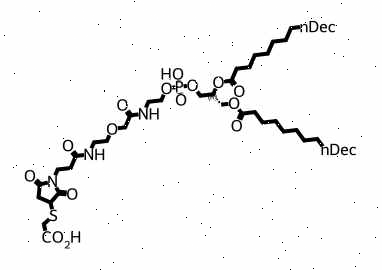 CCCCCCCCCCCCCCCCCC(=O)OC[C@H](COP(=O)(O)OCCNC(=O)COCCNC(=O)CCN1C(=O)CC(SCC(=O)O)C1=O)OC(=O)CCCCCCCCCCCCCCCCC